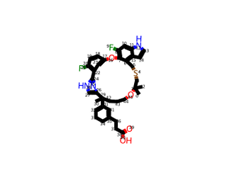 CC1(C)CSCc2c(c(F)cc3[nH]ccc23)Oc2ccc(F)c(c2)-c2nc(c[nH]2)C(C)(C2=CCCC(CCC(=O)O)=C2)CCCO1